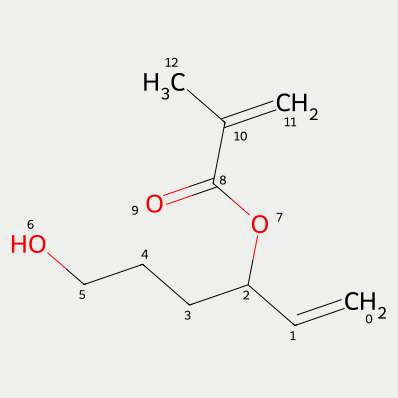 C=CC(CCCO)OC(=O)C(=C)C